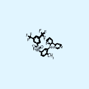 Cc1ccc(NS(=O)(=O)c2cc(C(F)(F)F)cc(C(F)(F)F)c2)cc1Nc1ncccc1-c1ccncn1